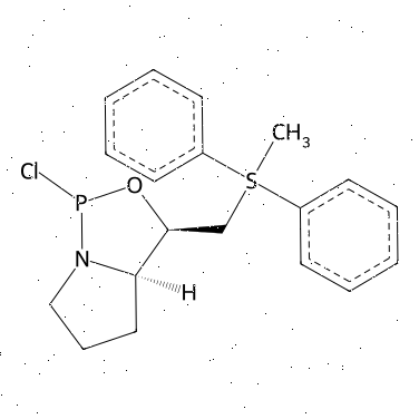 CS(C[C@@H]1OP(Cl)N2CCC[C@H]12)(c1ccccc1)c1ccccc1